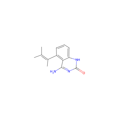 CC(C)=C(C)c1cccc2[nH]c(=O)nc(N)c12